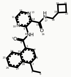 CCc1ccc(C(=O)Nc2nccnc2C(=O)NCC2CCC2)c2ccccc12